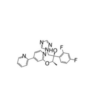 C[C@@H](Oc1cc(-c2ccccn2)ccn1)[C@](O)(Cn1cncn1)c1ccc(F)cc1F